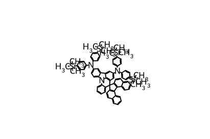 C[Si](C)(C)c1ccc(N(c2ccc([Si](C)(C)C)cc2)c2ccc3c(c2)c2cc(N(c4ccc([Si](C)(C)C)cc4)c4ccc([Si](C)(C)C)cc4)cc4c2n3-c2ccccc2C42c3ccc4ccccc4c3-c3c2ccc2ccccc32)cc1